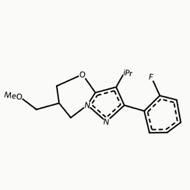 COCC1COc2c(C(C)C)c(-c3ccccc3F)nn2C1